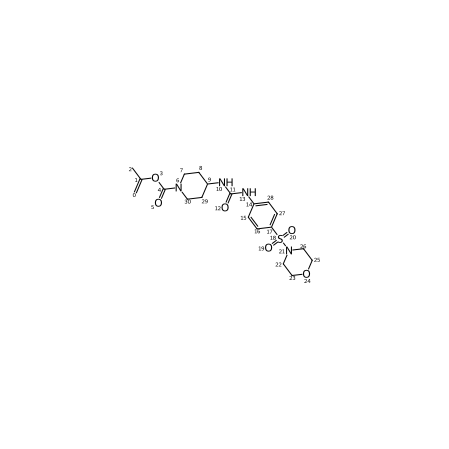 C=C(C)OC(=O)N1CCC(NC(=O)Nc2ccc(S(=O)(=O)N3CCOCC3)cc2)CC1